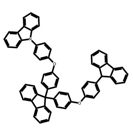 c1ccc2c(c1)-c1ccccc1C2c1ccc(Oc2ccc(C3(c4ccc(Oc5ccc(-n6c7ccccc7c7ccccc76)cc5)cc4)c4ccccc4-c4ccccc43)cc2)cc1